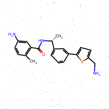 Cc1ccc(N)cc1C(=O)N[C@H](C)c1cccc(-c2ccc(CN)s2)c1